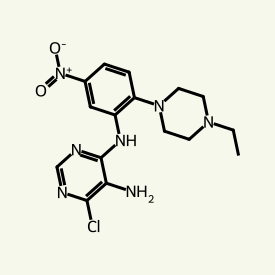 CCN1CCN(c2ccc([N+](=O)[O-])cc2Nc2ncnc(Cl)c2N)CC1